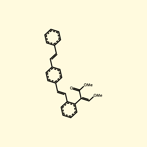 COC=C(C(=O)OC)c1ccccc1C=Cc1ccc(C=Cc2ccccc2)cc1